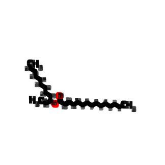 CCCCCCCCCCCCC=CC(=O)OC(CC)CCCCCCCCC